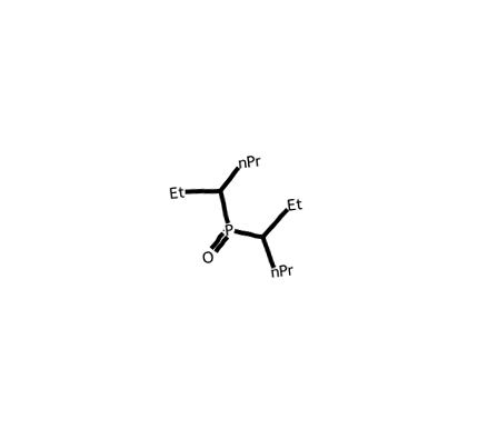 CCCC(CC)[P](=O)C(CC)CCC